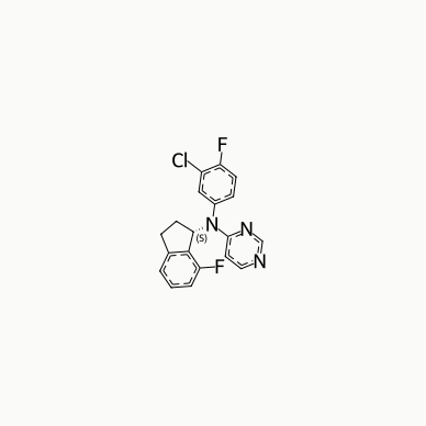 Fc1ccc(N(c2ccncn2)[C@H]2CCc3cccc(F)c32)cc1Cl